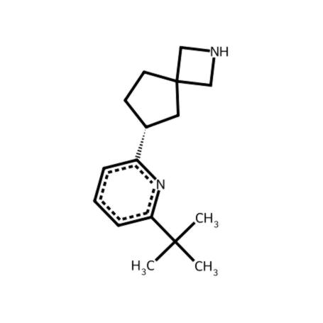 CC(C)(C)c1cccc([C@@H]2CCC3(CNC3)C2)n1